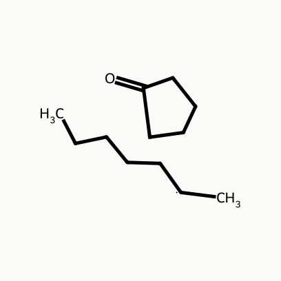 C[CH]CCCCC.O=C1CCCC1